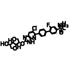 CS(=N)(=O)c1ccc(-c2ccc(-c3nc4[nH]c(O[C@@H]5CO[C@H]6[C@@H]5OC[C@H]6O)nc4cc3Cl)cc2)c(F)c1